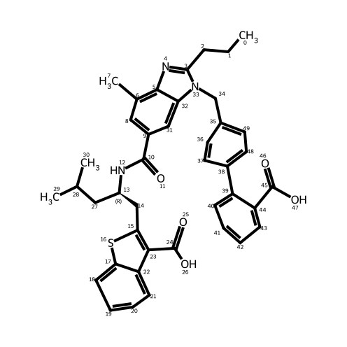 CCCc1nc2c(C)cc(C(=O)N[C@@H](Cc3sc4ccccc4c3C(=O)O)CC(C)C)cc2n1Cc1ccc(-c2ccccc2C(=O)O)cc1